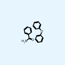 NC(=O)c1ccccc1.c1ccc(Oc2ccccc2)cc1